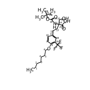 CCCCCCCOc1ccc(CCC(CO)(NC(=O)OC(C)(C)C)C(=O)O)cc1C(F)(F)F